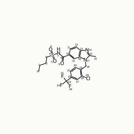 CCCCS(=O)(=O)NC(=O)c1ccc2nc(C)n(Cc3ccc(C(F)(F)F)cc3Cl)c2c1